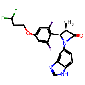 C[C@H]1C(=O)N(c2ccc3[nH]cnc3c2)[C@H]1c1c(I)cc(OCCC(F)F)cc1I